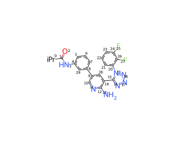 CC(C)C(=O)Nc1cccc(-c2cnc(N)c(-c3nnnn3-c3cccc(F)c3F)c2)c1